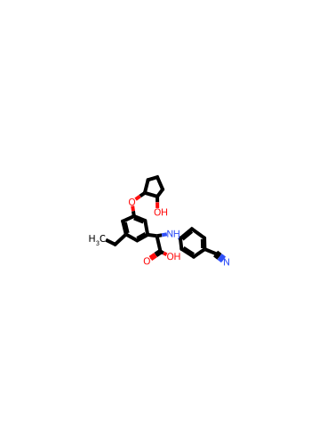 CCc1cc(OC2CCCC2O)cc(C(Nc2ccc(C#N)cc2)C(=O)O)c1